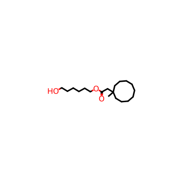 CC1(CC(=O)OCCCCCCO)CCCCCCCCC1